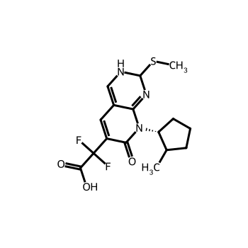 CSC1N=c2c(cc(C(F)(F)C(=O)O)c(=O)n2[C@@H]2CCCC2C)=CN1